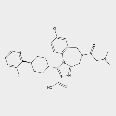 CN(C)CC(=O)N1Cc2cc(Cl)ccc2-n2c(nnc2[C@H]2CC[C@H](c3ncccc3F)CC2)C1.O=CO